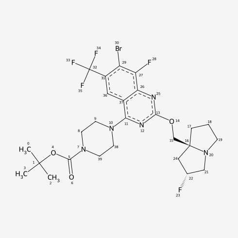 CC(C)(C)OC(=O)N1CCN(c2nc(OC[C@@]34CCCN3C[C@H](F)C4)nc3c(F)c(Br)c(C(F)(F)F)cc23)CC1